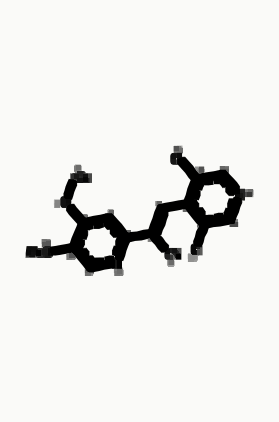 CCCCOc1cc(C(C#N)=Cc2c(Cl)cncc2Cl)ncc1OC